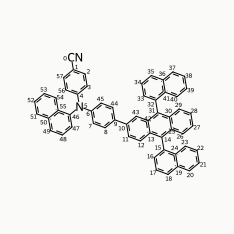 N#Cc1ccc(N(c2ccc(-c3ccc4c(-c5cccc6ccccc56)c5ccccc5c(-c5cccc6ccccc56)c4c3)cc2)c2cccc3ccccc23)cc1